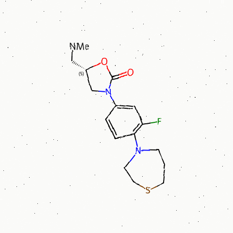 CNC[C@H]1CN(c2ccc(N3CCCSCC3)c(F)c2)C(=O)O1